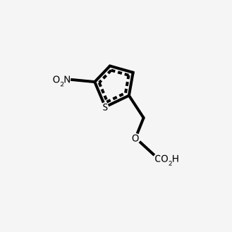 O=C(O)OCc1ccc([N+](=O)[O-])s1